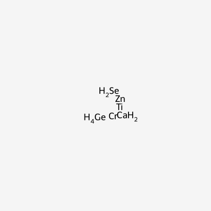 [CaH2].[Cr].[GeH4].[SeH2].[Ti].[Zn]